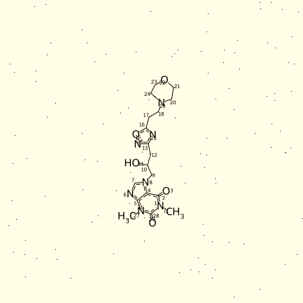 Cn1c(=O)c2c(ncn2CC(O)Cc2noc(CCN3CCOCC3)n2)n(C)c1=O